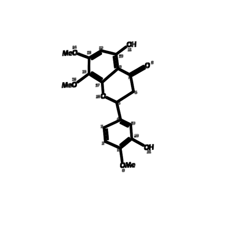 COc1ccc(C2CC(=O)c3c(O)cc(OC)c(OC)c3O2)cc1O